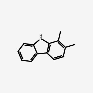 Cc1[c]cc2c([nH]c3ccccc32)c1C